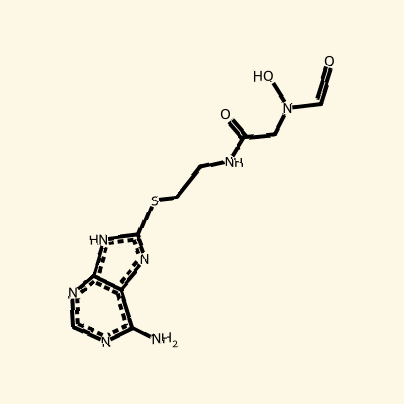 Nc1ncnc2[nH]c(SCCNC(=O)CN(O)C=O)nc12